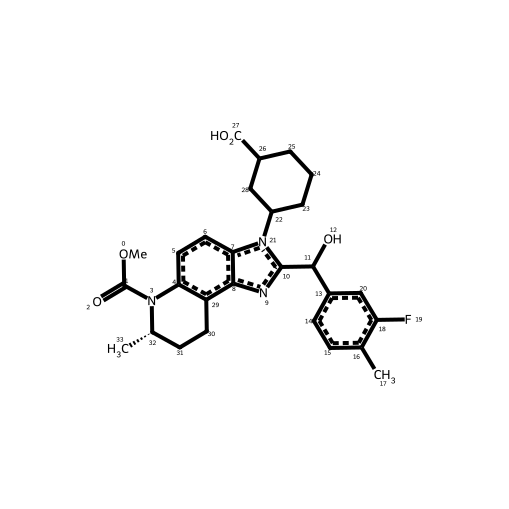 COC(=O)N1c2ccc3c(nc(C(O)c4ccc(C)c(F)c4)n3C3CCCC(C(=O)O)C3)c2CC[C@@H]1C